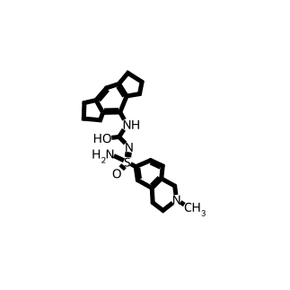 CN1CCc2cc(S(N)(=O)=NC(O)Nc3c4c(cc5c3CCC5)CCC4)ccc2C1